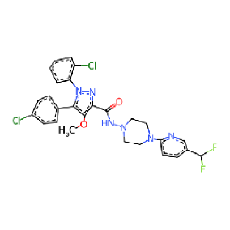 COc1c(C(=O)NN2CCN(c3ccc(C(F)F)cn3)CC2)nn(-c2ccccc2Cl)c1-c1ccc(Cl)cc1